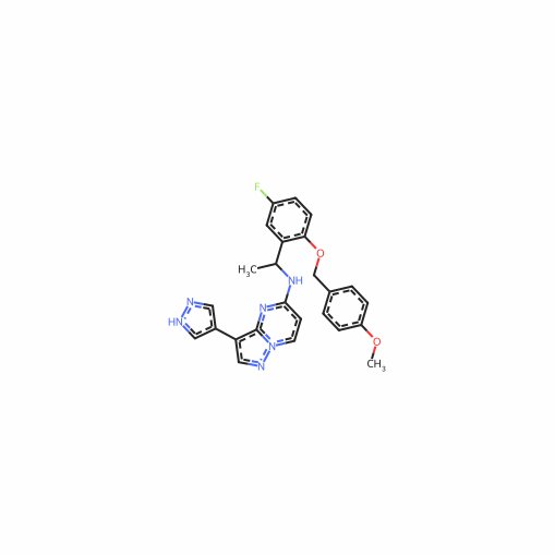 COc1ccc(COc2ccc(F)cc2C(C)Nc2ccn3ncc(-c4cn[nH]c4)c3n2)cc1